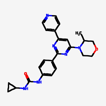 CC1COCCN1c1cc(-c2ccncc2)nc(-c2ccc(NC(=O)NC3CC3)cc2)n1